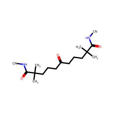 [C-]#[N+]NC(=O)C(C)(C)CCCC(=O)CCCC(C)(C)C(=O)NC#N